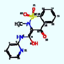 CN1C(=C(O)Nc2ccccn2)C(=O)c2ccccc2S1(=O)=O